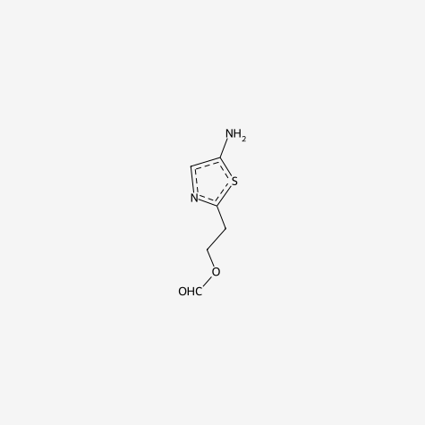 Nc1cnc(CCOC=O)s1